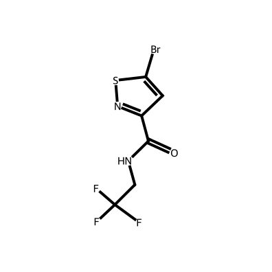 O=C(NCC(F)(F)F)c1cc(Br)sn1